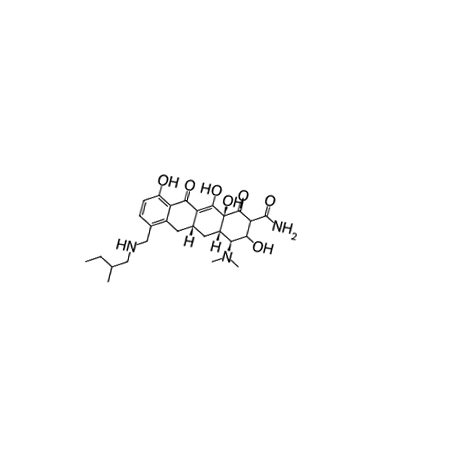 CCC(C)CNCc1ccc(O)c2c1C[C@H]1C[C@H]3[C@H](N(C)C)C(O)C(C(N)=O)C(=O)[C@@]3(O)C(O)=C1C2=O